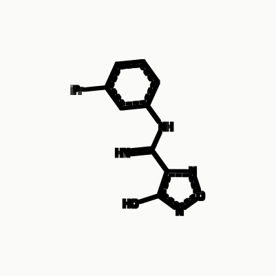 CC(C)c1cccc(NC(=N)c2nonc2O)c1